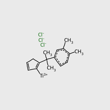 Cc1ccc(C(C)(C)C2=[C]([Ti+3])C=CC2)cc1C.[Cl-].[Cl-].[Cl-]